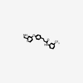 NCc1cc(Oc2ccc(CCC(=O)Nc3cccc(C(F)(F)F)c3)cc2)ccn1